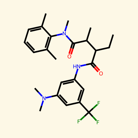 CCC(C(=O)Nc1cc(N(C)C)cc(C(F)(F)F)c1)C(C)C(=O)N(C)c1c(C)cccc1C